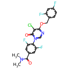 CN(C)C(=O)c1cc(F)c(-n2cnc(OCc3ccc(F)cc3F)c(Cl)c2=O)c(F)c1